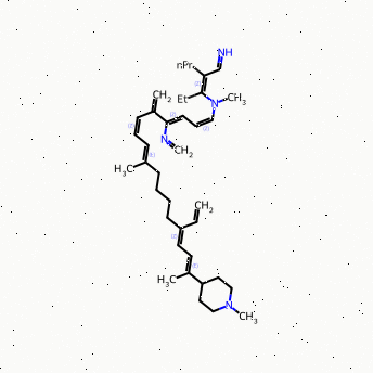 C=C/C(=C\C=C(/C)C1CCN(C)CC1)CCCC/C(C)=C/C=C\C(=C)/C(=C/C=C\N(C)/C(CC)=C(\C=N)CCC)N=C